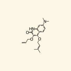 C=CCOc1c(OCC=C(C)C)c2ccc(N(C)C)cc2[nH]c1=O